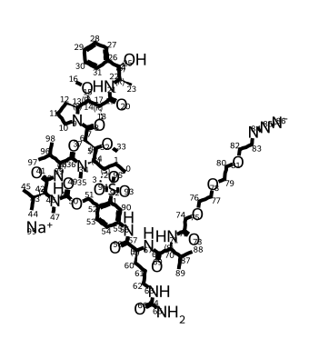 CC[C@H](C)[C@@H]([C@@H](CC(=O)N1CCC[C@H]1[C@H](OC)[C@@H](C)C(=O)N[C@H](C)[C@@H](O)c1ccccc1)OC)N(C)C(=O)[C@@H](NC(=O)[C@H](C(C)C)N(C)C(=O)OCc1ccc(NC(=O)[C@H](CCCNC(N)=O)NC(=O)[C@@H](NC(=O)COCCOCCOCCN=[N+]=[N-])C(C)C)cc1S(=O)(=O)[O-])C(C)C.[Na+]